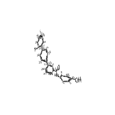 O=C(Nc1ccc(O)cc1)c1cc(-c2ccc(-c3ccccc3F)cc2)ccn1